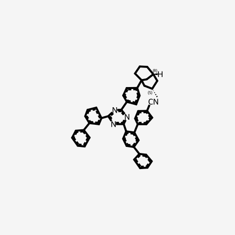 C[C@H]1C[C@H]2CCCC(c3ccc(-c4nc(-c5cccc(-c6ccccc6)c5)nc(-c5ccc(-c6ccccc6)cc5-c5ccc(C#N)cc5)n4)cc3)(C1)C2